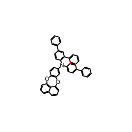 c1ccc(-c2ccc(N(c3ccc4c(c3)Oc3cccc5cccc(c35)O4)c3ccc(-c4ccccc4)cc3-c3ccccc3)cc2)cc1